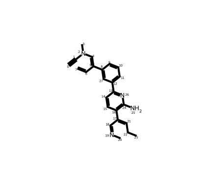 C#CN(C)/C=C(\C=C)c1cccc(-c2ccc(C(/C=N\C)=C/CC)c(N)n2)c1